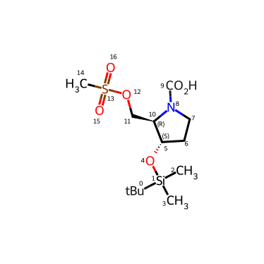 CC(C)(C)[Si](C)(C)O[C@H]1CCN(C(=O)O)[C@@H]1COS(C)(=O)=O